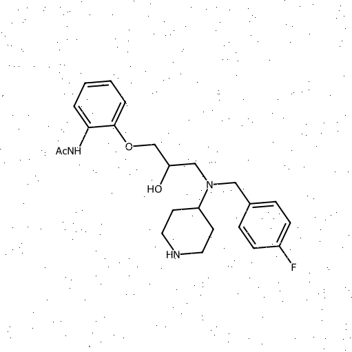 CC(=O)Nc1ccccc1OCC(O)CN(Cc1ccc(F)cc1)C1CCNCC1